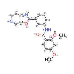 COc1ccc(C(=O)Nc2cccc(-c3nc4ccncc4o3)c2)c(OC)c1